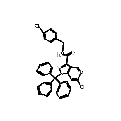 O=C(NCc1ccc(Cl)cc1)c1nn(C(c2ccccc2)(c2ccccc2)c2ccccc2)c2cc(Cl)ncc12